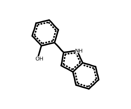 Oc1ccccc1-c1cc2ccccc2[nH]1